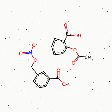 CC(=O)Oc1ccccc1C(=O)O.O=C(O)c1cccc(CO[N+](=O)[O-])c1